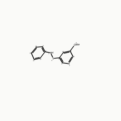 COc1cncc(SNc2ccccc2)c1